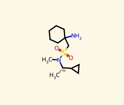 C[C@@H](C1CC1)N(C)S(=O)(=O)CC1(N)CCCCC1